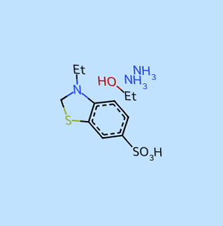 CCN1CSc2cc(S(=O)(=O)O)ccc21.CCO.N.N